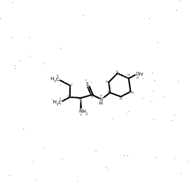 CCC(C)[C@H](N)C(=S)NC1CCC(O)CC1